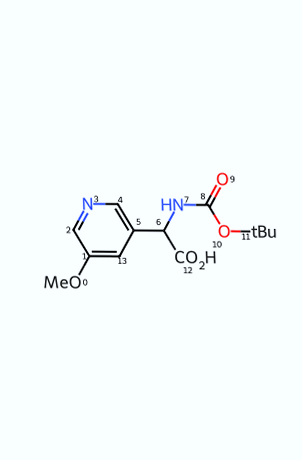 COc1cncc(C(NC(=O)OC(C)(C)C)C(=O)O)c1